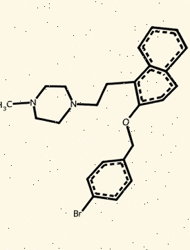 CN1CCN(CCc2c(OCc3ccc(Br)cc3)ccc3ccccc23)CC1